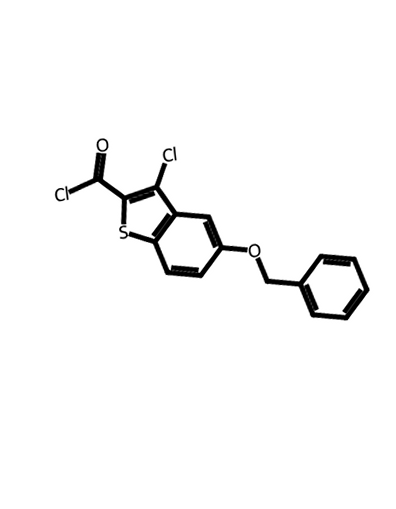 O=C(Cl)c1sc2ccc(OCc3ccccc3)cc2c1Cl